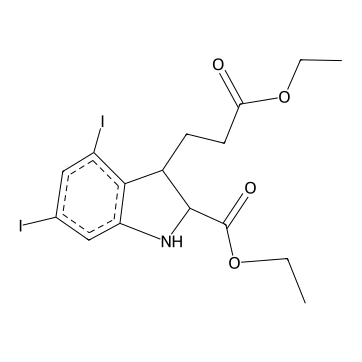 CCOC(=O)CCC1c2c(I)cc(I)cc2NC1C(=O)OCC